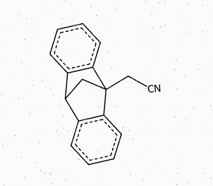 N#CCC12CC(c3ccccc31)c1ccccc12